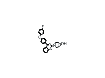 ON1CCN(c2nc(-c3ccc(Oc4ccc(F)cc4)cc3)c3ccccc3n2)CC1